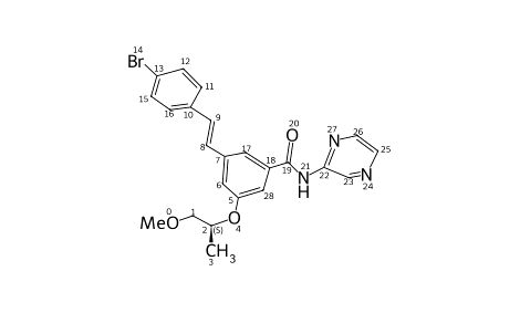 COC[C@H](C)Oc1cc(C=Cc2ccc(Br)cc2)cc(C(=O)Nc2cnccn2)c1